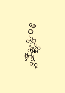 CC(C)(C)OC(=O)CON=C(C(=O)NC1C(=O)N2CC(Cl)(C(=O)OCc3ccc([N+](=O)[O-])cc3)CS[C@H]12)c1cscn1